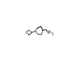 NCC1CCN(C2COC2)CC1